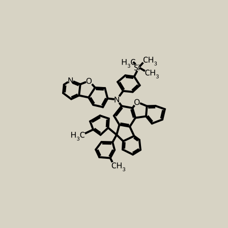 Cc1cccc(C2(c3cccc(C)c3)c3ccccc3-c3c2cc(N(c2ccc([Si](C)(C)C)cc2)c2ccc4c(c2)oc2ncccc24)c2oc4ccccc4c32)c1